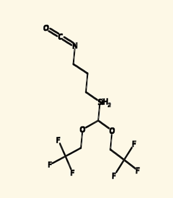 O=C=NCCC[SiH2]C(OCC(F)(F)F)OCC(F)(F)F